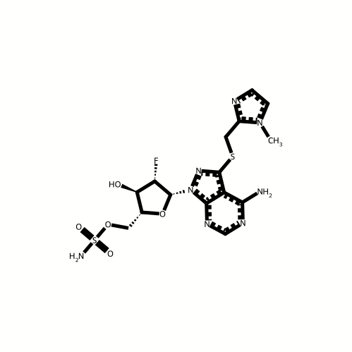 Cn1ccnc1CSc1nn([C@@H]2O[C@H](COS(N)(=O)=O)[C@@H](O)[C@@H]2F)c2ncnc(N)c12